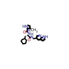 Cc1cc[nH]c1C(=O)N[C@@H](CC1CCCCC1)C(=O)NCc1cnc2[nH]ccc2c1